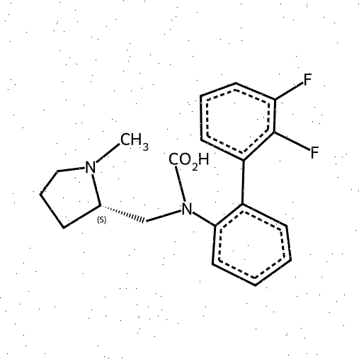 CN1CCC[C@H]1CN(C(=O)O)c1ccccc1-c1cccc(F)c1F